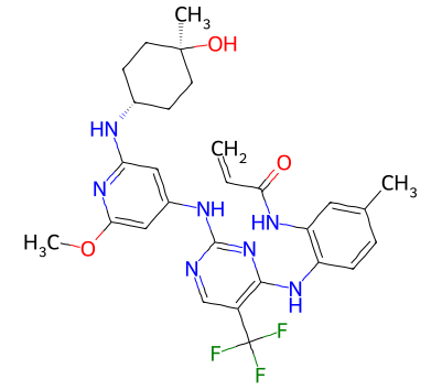 C=CC(=O)Nc1cc(C)ccc1Nc1nc(Nc2cc(N[C@H]3CC[C@](C)(O)CC3)nc(OC)c2)ncc1C(F)(F)F